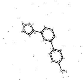 COc1ccc(-c2cccc(-c3ccon3)c2)cc1